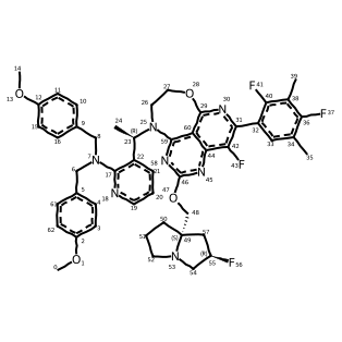 COc1ccc(CN(Cc2ccc(OC)cc2)c2ncccc2[C@@H](C)N2CCOc3nc(-c4cc(C)c(F)c(C)c4F)c(F)c4nc(OC[C@@]56CCCN5C[C@H](F)C6)nc2c34)cc1